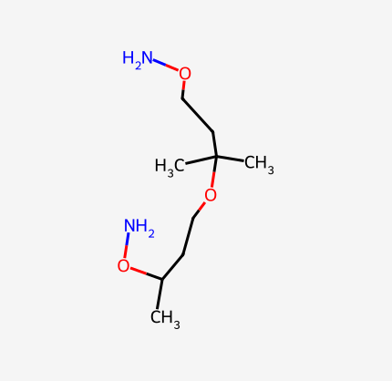 CC(CCOC(C)(C)CCON)ON